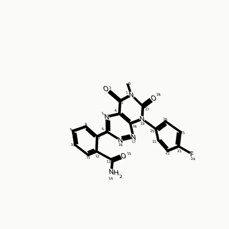 Cn1c(=O)c2nc(-c3ccccc3C(N)=O)nnc2n(-c2ccc(F)cc2)c1=O